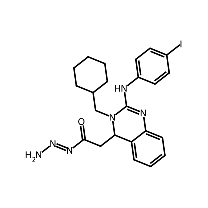 NN=NC(=O)CC1c2ccccc2N=C(Nc2ccc(I)cc2)N1CC1CCCCC1